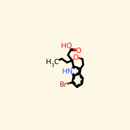 CCCC1(CC(=O)O)OCCc2c1[nH]c1c(Br)cccc21